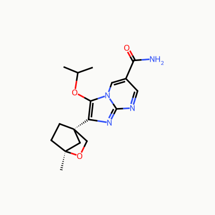 CC(C)Oc1c([C@@]23CC[C@@](C)(C2)OC3)nc2ncc(C(N)=O)cn12